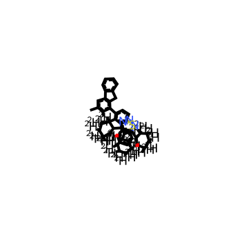 [2H]C1C([2H])([2H])C([2H])([2H])C([2H])([2H])C([2H])([2H])C1([2H])c1nnnc(C2C([2H])([2H])C([2H])([2H])C([2H])([2H])C([2H])([2H])C2([2H])c2c(-c3c(C)c(C)cc4c3Cc3ccccc3-4)ccc3sc4ccccc4c23)c1C1([2H])C([2H])C([2H])([2H])C([2H])([2H])C([2H])([2H])C1([2H])[2H]